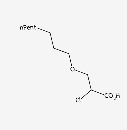 CCCCCCCCOCC(Cl)C(=O)O